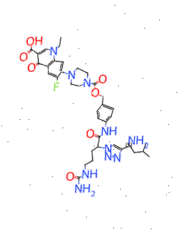 CCn1cc(C(=O)O)c(=O)c2cc(F)c(N3CCN(C(=O)OCc4ccc(NC(=O)C(CCCNC(N)=O)n5cc([C@@H](N)CC(C)C)nn5)cc4)CC3)cc21